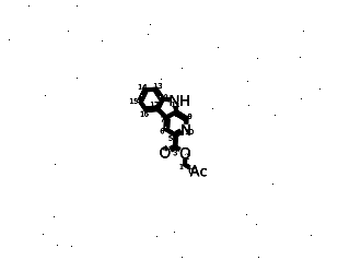 CC(=O)COC(=O)c1cc2c(cn1)[nH]c1ccccc12